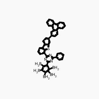 Bc1c(B)c(B)c(-c2nc(-c3ccccc3)nc(-c3cccc4c3sc3cc(-c5ccc6c7ccccc7c7ccccc7c6c5)ccc34)n2)c(B)c1B